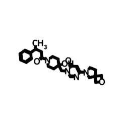 CC(CC(=O)N1CCC(O)(Cn2cnc(N3CCC4(COC4)C3)cc2=O)CC1)c1ccccc1